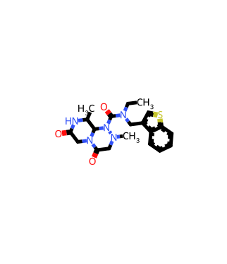 CCN(Cc1csc2ccccc12)C(=O)N1C2C(C)NC(=O)CN2C(=O)CN1C